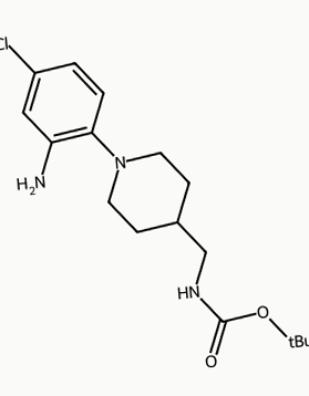 CC(C)(C)OC(=O)NCC1CCN(c2ccc(Cl)cc2N)CC1